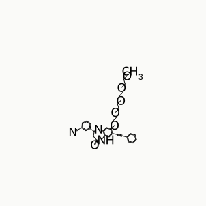 COCCOCCOCCOCCOc1cc2c(cc1C#Cc1ccccc1)NC(=O)CC(c1cccc(C#N)c1)=N2